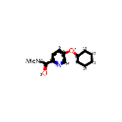 CNC(=O)c1ccc(OC2CCCCC2)cn1